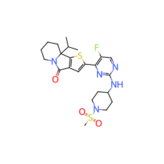 CC(C)C12CCCCN1C(=O)c1cc(-c3nc(NC4CCN(S(C)(=O)=O)CC4)ncc3F)sc12